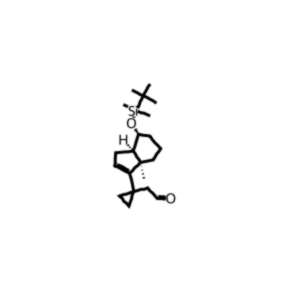 CC(C)(C)[Si](C)(C)O[C@H]1CCC[C@@]2(C)C(C3(CC=O)CC3)=CC[C@@H]12